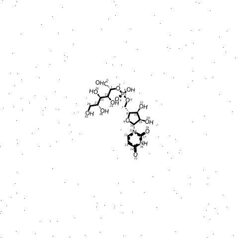 O=C[C@H](OP(=O)(O)OC[C@H]1O[C@@H](n2ccc(=O)[nH]c2=O)[C@H](O)[C@@H]1O)[C@@H](O)[C@H](O)[C@H](O)CO